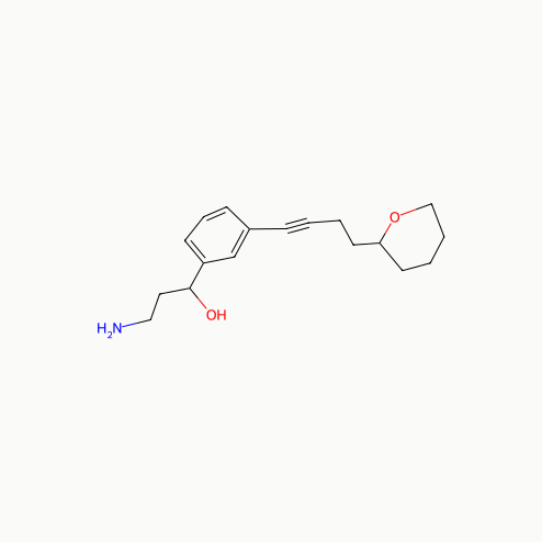 NCCC(O)c1cccc(C#CCCC2CCCCO2)c1